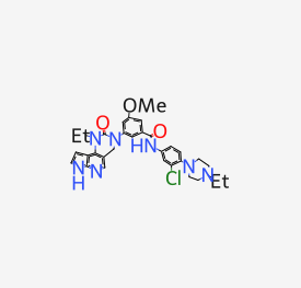 CCN1CCN(c2ccc(NC(=O)c3cc(OC)cc(N4Cc5cnc6[nH]ccc6c5N(CC)C4=O)c3)cc2Cl)CC1